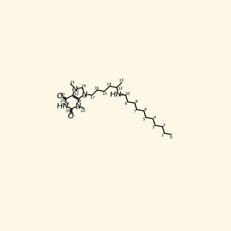 CCCCCCCCCCCNC(C)CCCCN1CN(C)c2c1n(C)c(=O)[nH]c2=O